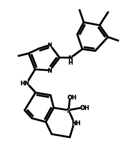 Cc1cnc(Nc2cc(C)c(C)c(C)c2)nc1Nc1ccc2c(c1)S(O)(O)NCC2